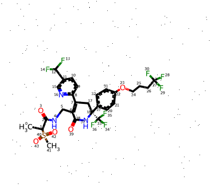 CC(C(=O)NCC1=C(c2ccc(C(F)F)cn2)C[C@](c2ccc(OCCCC(F)(F)F)cc2)(C(F)(F)F)NC1=O)S(C)(=O)=O